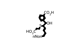 CCCCCCCCC/C=C\C=C\C(SCCC(=O)O)C(O)c1cccc(C(=O)O)c1